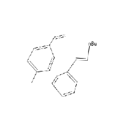 C=Cc1ccc(C)cc1.CCCCC=Cc1ccccc1